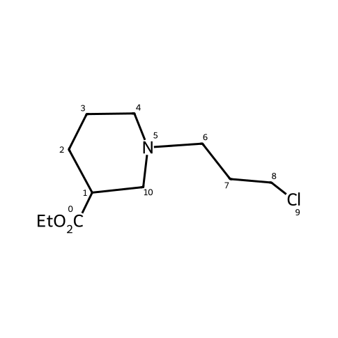 CCOC(=O)C1CCCN(CCCCl)C1